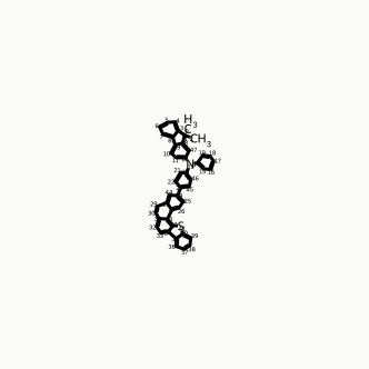 CC1(C)c2ccccc2-c2ccc(N(c3ccccc3)c3ccc(-c4ccc5c(ccc6ccc7c8ccccc8sc7c65)c4)cc3)cc21